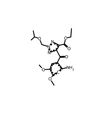 CCOC(=O)c1nn(COC(C)C)nc1C(=O)c1cc(OC)c(OC)cc1N